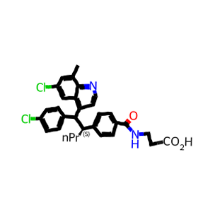 CCC[C@H](c1ccc(C(=O)NCCC(=O)O)cc1)C(c1ccc(Cl)cc1)c1ccnc2c(C)cc(Cl)cc12